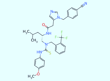 COc1ccc(NC(=S)N(Cc2ccccc2C(F)(F)F)C[C@H](CC(C)C)NC(=O)Cc2cncn2Cc2ccc(C#N)cc2)cc1